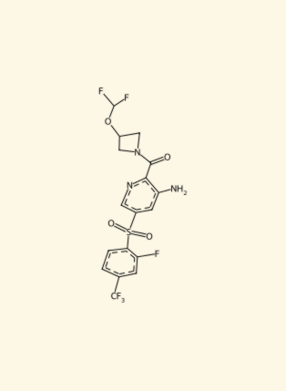 Nc1cc(S(=O)(=O)c2ccc(C(F)(F)F)cc2F)cnc1C(=O)N1CC(OC(F)F)C1